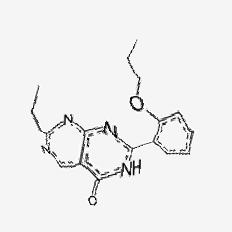 CCCOc1ccccc1-c1nc2nc(CC)ncc2c(=O)[nH]1